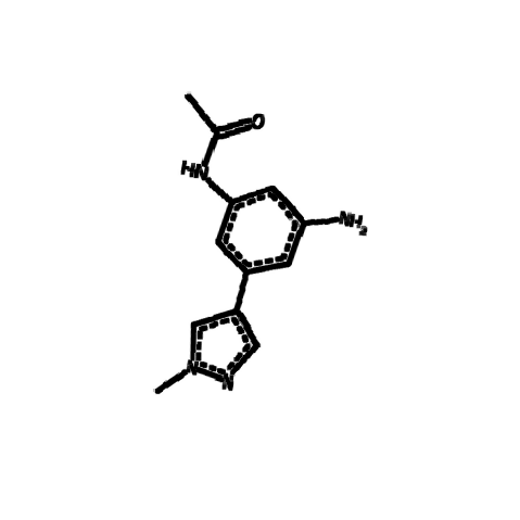 CC(=O)Nc1cc(N)cc(-c2cnn(C)c2)c1